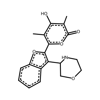 Cc1c(-c2oc3ccccc3c2C2COCCN2)oc(=O)c(C)c1O